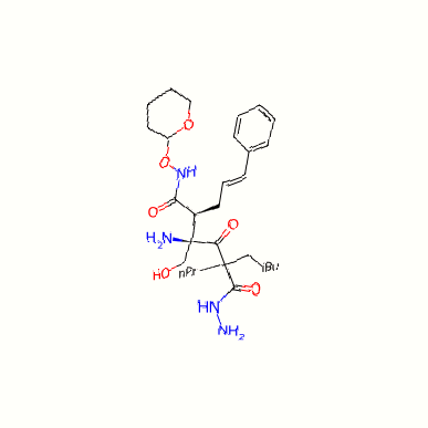 CCCC(CC(C)CC)(C(=O)NN)C(=O)[C@](N)(CO)[C@H](C/C=C/c1ccccc1)C(=O)NOC1CCCCO1